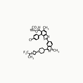 Cc1cc2nc(-c3ccc4c(c3)c(C3CCN(C5CN(C(C)C(F)(F)F)C5)CC3)nn4C)sc2c(-c2ccc(Cl)cc2)c1C(OC(C)(C)C)C(=O)O